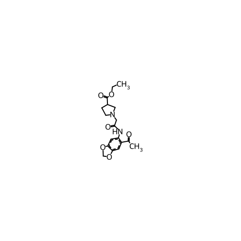 CCOC(=O)C1CCN(CC(=O)Nc2cc3c(cc2C(C)=O)OCO3)C1